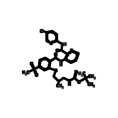 CC(CNC(=O)OC(C)(C)C)COc1cc(S(C)(=O)=O)ccc1C(=O)Nc1cccnc1C(=O)Nc1ccc(Cl)cn1